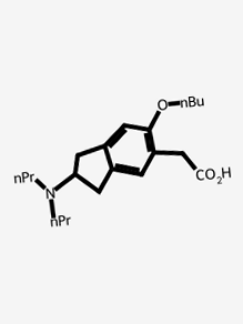 CCCCOc1cc2c(cc1CC(=O)O)CC(N(CCC)CCC)C2